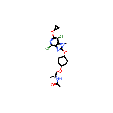 CC(=O)N[C@@H](C)CO[C@H]1CC[C@H](Oc2nc3c(Cl)nc(OC4CC4)c(Cl)c3n2C)CC1